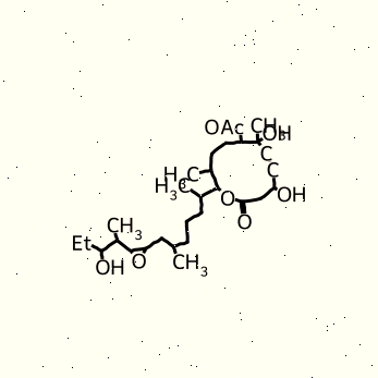 CCC(O)C(C)C1OC1CC(C)CCCC(C)C1OC(=O)CC(O)CCC(C)(O)C(OC(C)=O)CCC1C